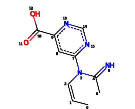 C/C=C\N(C(C)=N)c1cc(C(=O)O)ncn1